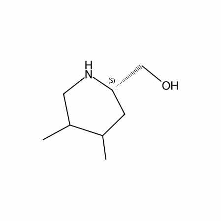 CC1CN[C@H](CO)CC1C